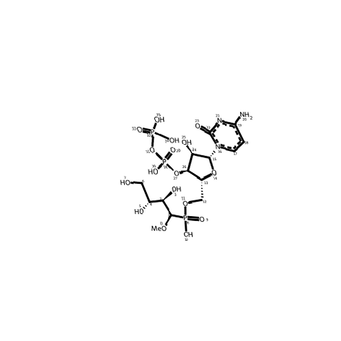 COC([C@H](O)[C@H](O)CO)P(=O)(O)OC[C@H]1O[C@@H](n2ccc(N)nc2=O)[C@H](O)[C@@H]1OP(=O)(O)OP(=O)(O)O